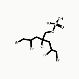 O=P(O)(O)OCC(Cl)(CC(Br)CBr)CC(Br)CBr